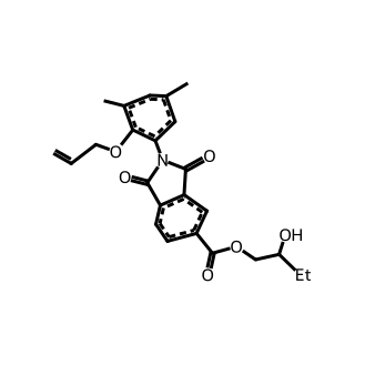 C=CCOc1c(C)cc(C)cc1N1C(=O)c2ccc(C(=O)OCC(O)CC)cc2C1=O